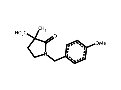 COc1ccc(CN2CCC(C)(C(=O)O)C2=O)cc1